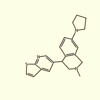 CN1Cc2cc(N3CCCC3)ccc2C(c2cnc3sccc3c2)C1